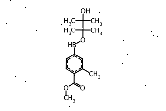 COC(=O)c1ccc(BOC(C)(C)C(C)(C)O)cc1C